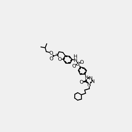 CC(C)COC(=O)[C@H]1CCc2cc(NS(=O)(=O)c3ccc(-n4nnn(CCCC5CCCCC5)c4=O)cc3)ccc2O1